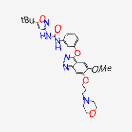 COc1cc2c(Oc3cccc(NC(=O)Nc4cc(C(C)(C)C)on4)c3)ncnc2cc1OCCCN1CCOCC1